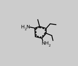 CCc1c(N)cc(N)c(C)c1CC